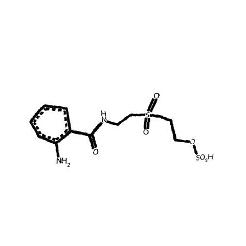 Nc1ccccc1C(=O)NCCS(=O)(=O)CCOS(=O)(=O)O